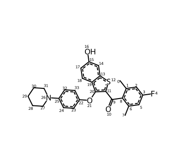 Cc1cc(F)cc(C)c1C(=O)c1sc2cc(O)ccc2c1Oc1ccc(N2CCCCC2)cc1